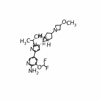 COC1CN(C2C[C@@H]3[C@H](C2)[C@H]3c2cc(-c3cnc(N)c(OC(F)F)c3)nn2C(C)C)C1